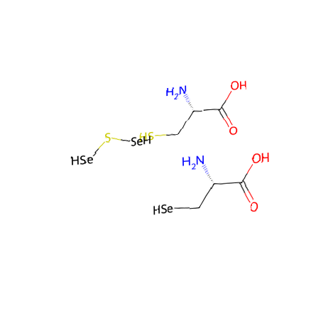 N[C@@H](CS)C(=O)O.N[C@@H](C[SeH])C(=O)O.[SeH]S[SeH]